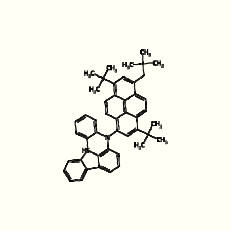 CC(C)(C)Cc1cc(C(C)(C)C)c2ccc3c(N4c5ccccc5[SH]5c6ccccc6-c6cccc4c65)cc(C(C)(C)C)c4ccc1c2c34